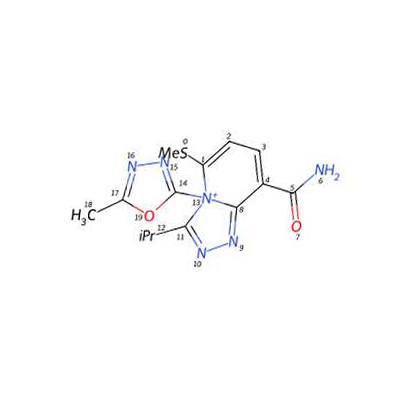 CSC1=CC=C(C(N)=O)C2=NN=C(C(C)C)[N+]12c1nnc(C)o1